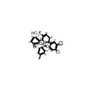 Cc1ccc(S(=O)(=O)N2C(c3ccc(Cl)c(Cl)c3)CC=C(C(=O)O)[C@@H]2c2cccc(Br)c2)cc1